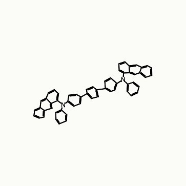 c1ccc(N(c2ccc(-c3ccc(-c4ccc(N(c5ccccc5)c5cccc6cc7ccccc7cc56)cc4)cc3)cc2)c2cccc3cc4ccccc4cc23)cc1